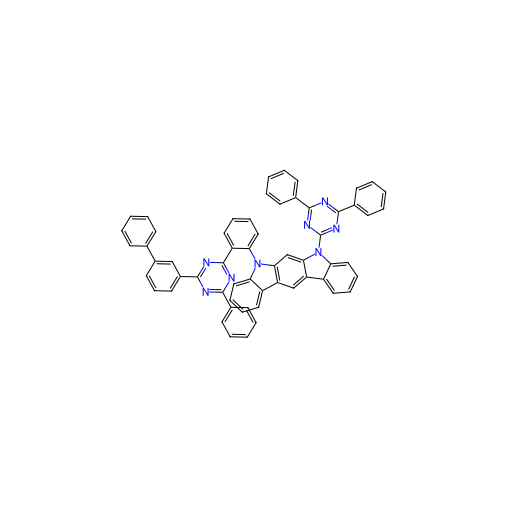 c1ccc(-c2cccc(-c3nc(-c4ccccc4)nc(-c4ccccc4-n4c5ccccc5c5cc6c7ccccc7n(-c7nc(-c8ccccc8)nc(-c8ccccc8)n7)c6cc54)n3)c2)cc1